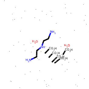 CC(=O)O.CC(=O)O.CC(=O)O.CC(=O)O.CC(=O)O.NCCNCCN.O.O